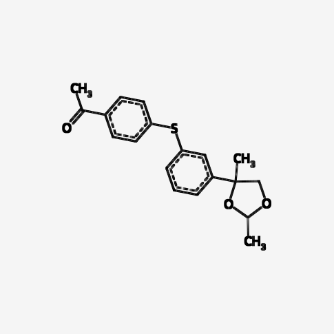 CC(=O)c1ccc(Sc2cccc(C3(C)COC(C)O3)c2)cc1